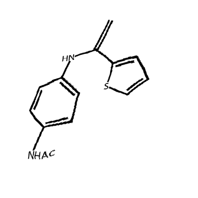 C=C(Nc1ccc(NC(C)=O)cc1)c1cccs1